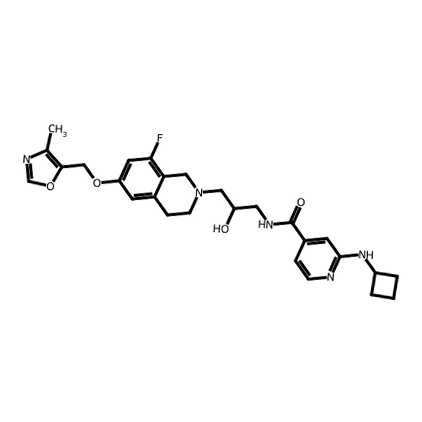 Cc1ncoc1COc1cc(F)c2c(c1)CCN(CC(O)CNC(=O)c1ccnc(NC3CCC3)c1)C2